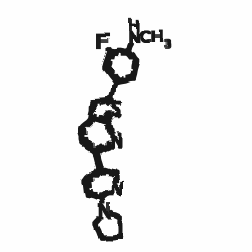 CNc1ccc(-c2cc3ccc(-c4ccc(N5CCCC5)nc4)nc3s2)cc1F